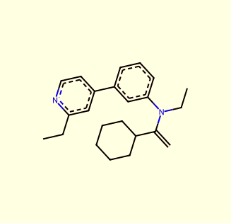 C=C(C1CCCCC1)N(CC)c1cccc(-c2ccnc(CC)c2)c1